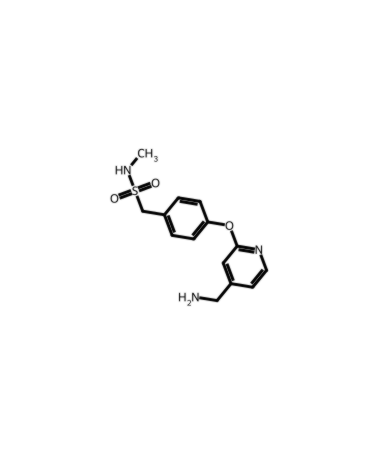 CNS(=O)(=O)Cc1ccc(Oc2cc(CN)ccn2)cc1